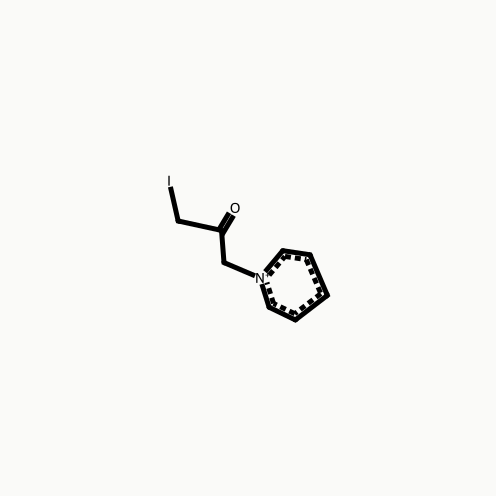 O=C(CI)C[n+]1ccccc1